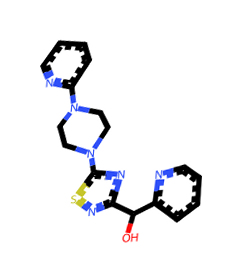 OC(c1ccccn1)c1nsc(N2CCN(c3ccccn3)CC2)n1